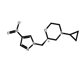 O=[N+]([O-])c1cnn(C[C@@H]2CN(C3CC3)CCO2)c1